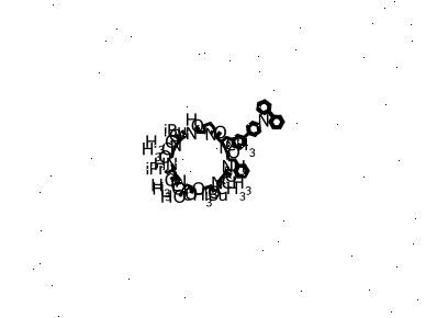 CCC(C)C1NC(=O)C2CCCN2C(=O)C(Cc2cccc(-c3ccc(-n4c5ccccc5c5ccccc54)cc3)c2)N(C)C(=O)C(Cc2ccccc2)NC(=O)[C@H](C)N(C)C(=O)C([C@H](C)CC)OC(=O)C(C(C)(C)O)N(C)C(=O)C(CC(C)C)NC(=O)[C@H](C)N(C)C1=O